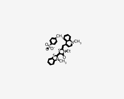 CCn1c(=Cc2cc[n+](C)c3ccccc23)sc(=C2Sc3ccccc3N2C)c1=O.Cc1ccc(S(=O)(=O)[O-])cc1